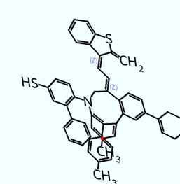 C=c1sc2ccccc2/c1=C/C=C1\CN(c2ccc(S)cc2-c2ccccc2)c2cc(C)cc(c2-c2ccc(C)cc2)-c2cc(C3=CCCCC3)ccc21